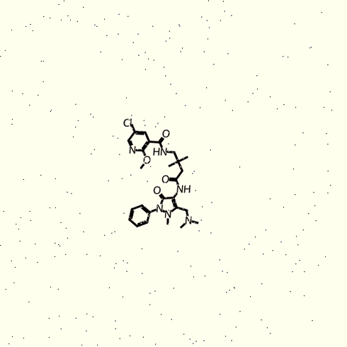 COc1ncc(Cl)cc1C(=O)NCC(C)(C)CC(=O)Nc1c(CN(C)C)n(C)n(-c2ccccc2)c1=O